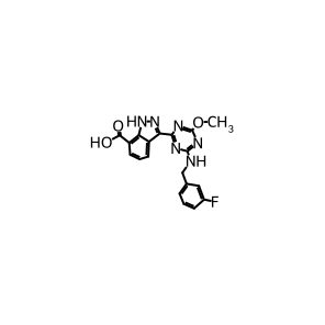 COc1nc(NCc2cccc(F)c2)nc(-c2n[nH]c3c(C(=O)O)cccc23)n1